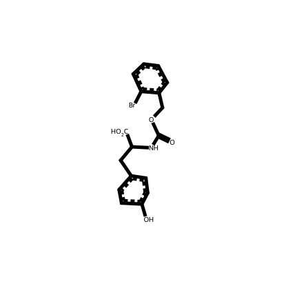 O=C(NC(Cc1ccc(O)cc1)C(=O)O)OCc1ccccc1Br